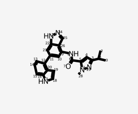 CC(C)c1cc(C(=O)Nc2cc(-c3cccc4[nH]ccc34)cc3[nH]ncc23)n(C)n1